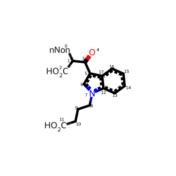 CCCCCCCCCC(C(=O)O)C(=O)c1cn(CCCC(=O)O)c2ccccc12